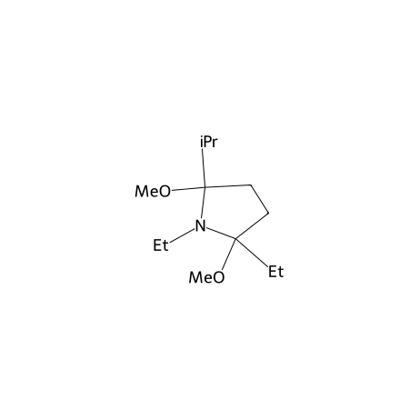 CCN1C(CC)(OC)CCC1(OC)C(C)C